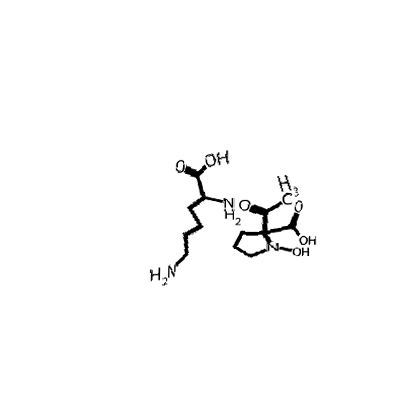 CC(=O)C1(C(=O)O)CCCN1O.NCCCCC(N)C(=O)O